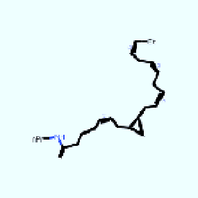 C=C(CCC/C=C\CC1CC1C/C=C\C/C=C\C/C=C\CC)NCCC